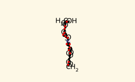 C=CC(=O)OCCCCOC(=O)Oc1ccc(-c2ccc(/C=C/C(=O)Sc3ccc(OCCCCOC(=O)C(=C)CO)cc3)cc2)cc1